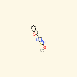 CCOc1nn2cc(-c3cc4ccccc4o3)nc2s1